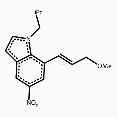 COC/C=C/c1cc([N+](=O)[O-])cc2ccn(CC(C)C)c12